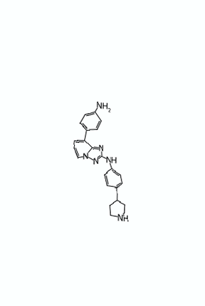 Nc1ccc(-c2cccn3nc(Nc4ccc(C5CCNCC5)cc4)nc23)cc1